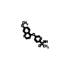 COc1ccc2c(Oc3ccc(S(C)(=N)=O)nc3)ccnc2c1